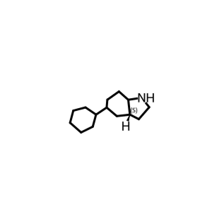 C1CCC(C2CCC3NCC[C@@H]3C2)CC1